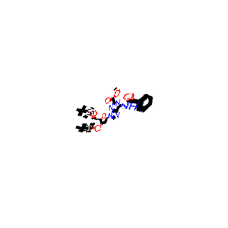 COC(=O)c1nc(NC(=O)c2ccccc2)c2ncn([C@H]3CC(O[Si](C)(C)C(C)(C)C)[C@@H](CO[Si](C)(C)C(C)(C)C)O3)c2n1